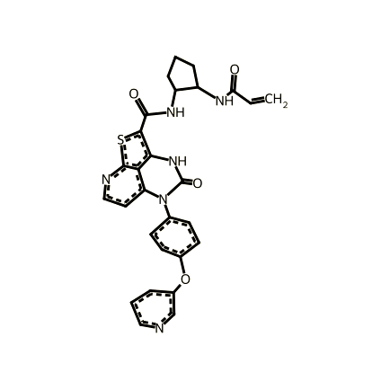 C=CC(=O)NC1CCCC1NC(=O)c1sc2nccc3c2c1NC(=O)N3c1ccc(Oc2cccnc2)cc1